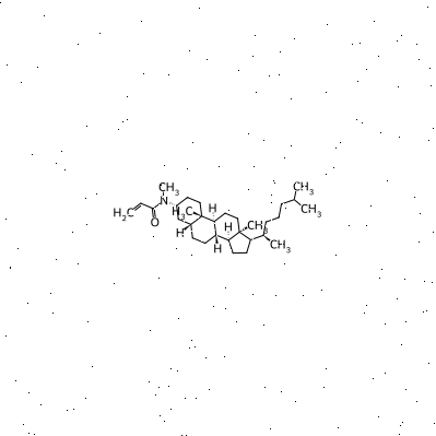 C=CC(=O)N(C)[C@@H]1CC[C@@]2(C)[C@H](CC[C@@H]3[C@@H]2CC[C@]2(C)C([C@H](C)CCCC(C)C)CC[C@@H]32)C1